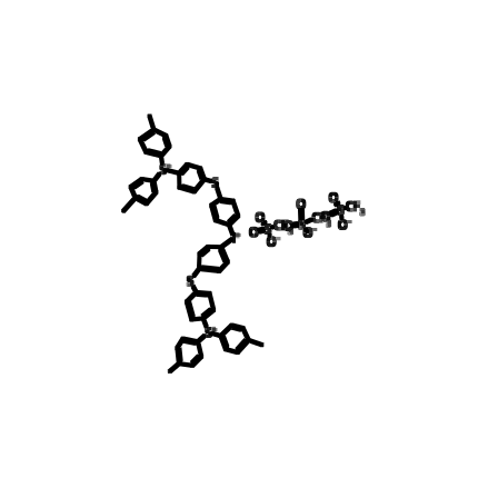 Cc1ccc([S+](c2ccc(C)cc2)c2ccc(Sc3ccc([I+]c4ccc(Sc5ccc([S+](c6ccc(C)cc6)c6ccc(C)cc6)cc5)cc4)cc3)cc2)cc1.O=S(=O)([O-])C(F)(F)F.O=S(=O)([O-])C(F)(F)F.O=S(=O)([O-])C(F)(F)F